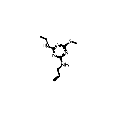 C=CCNc1nc(NCC)nc(SC)n1